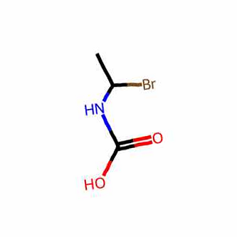 CC(Br)NC(=O)O